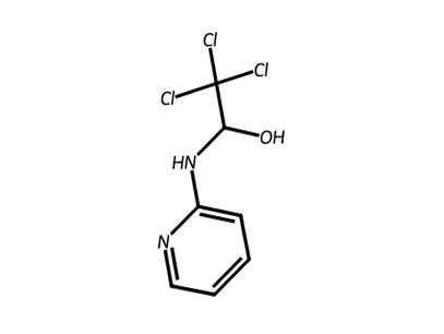 OC(Nc1ccccn1)C(Cl)(Cl)Cl